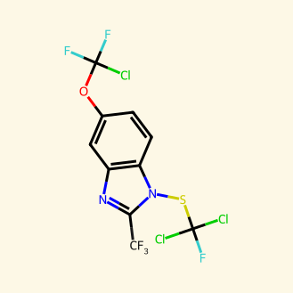 FC(F)(Cl)Oc1ccc2c(c1)nc(C(F)(F)F)n2SC(F)(Cl)Cl